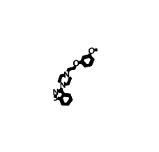 COc1cccc(OCCN2CCN(c3nsc4ccccc34)CC2)c1